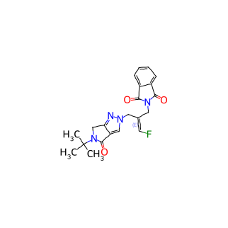 CC(C)(C)N1Cc2nn(C/C(=C/F)CN3C(=O)c4ccccc4C3=O)cc2C1=O